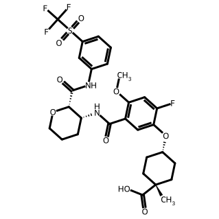 COc1cc(F)c(O[C@H]2CC[C@@](C)(C(=O)O)CC2)cc1C(=O)N[C@@H]1CCCO[C@@H]1C(=O)Nc1cccc(S(=O)(=O)C(F)(F)F)c1